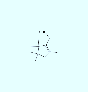 CC1=C(CC=O)C(C)(C)C(C)(C)C1